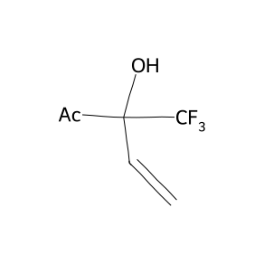 C=CC(O)(C(C)=O)C(F)(F)F